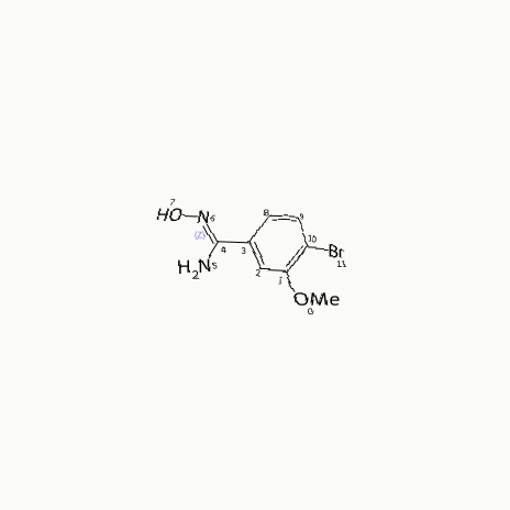 COc1cc(/C(N)=N/O)ccc1Br